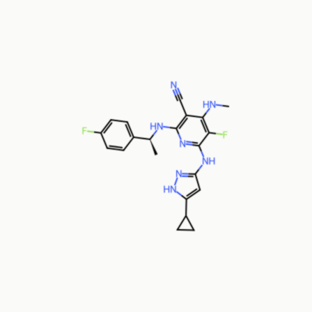 CNc1c(F)c(Nc2cc(C3CC3)[nH]n2)nc(N[C@@H](C)c2ccc(F)cc2)c1C#N